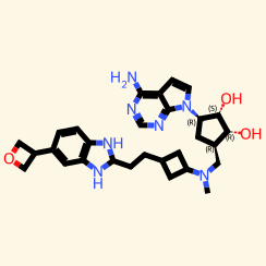 CN(C[C@H]1C[C@@H](n2ccc3c(N)ncnc32)[C@H](O)[C@@H]1O)C1CC(CCC2Nc3ccc(C4COC4)cc3N2)C1